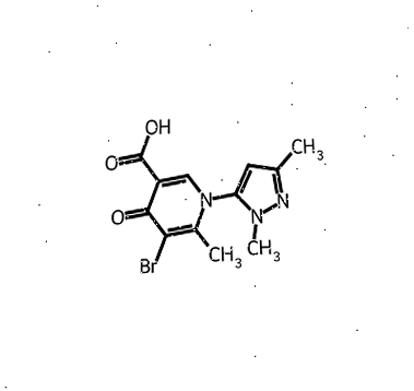 Cc1cc(-n2cc(C(=O)O)c(=O)c(Br)c2C)n(C)n1